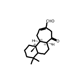 CC1(C)CCC[C@@]2(C)C1CC[C@@H]1C(=O)CC(C=O)=CC[C@@H]12